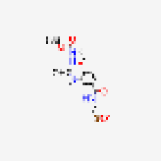 C[C@H](COc1ccc(C(=O)NCC[S+](C)[O-])cc1N(C)C=O)NC(=O)OC(C)(C)C